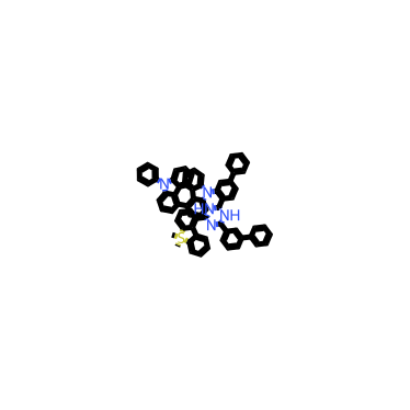 CS1(C)c2ccccc2-c2c(C3=NC(c4cccc(-c5ccccc5)c4)NC(c4ccc(-c5ccccc5)cc4-n4c5ccccc5c5c(-c6cccc7c6c6ccccc6n7-c6ccccc6)cccc54)N3)cccc21